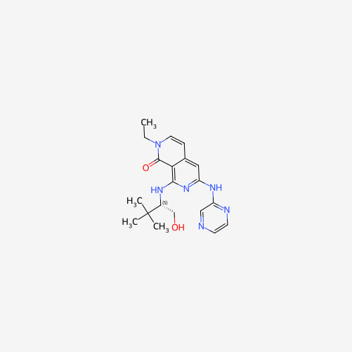 CCn1ccc2cc(Nc3cnccn3)nc(N[C@H](CO)C(C)(C)C)c2c1=O